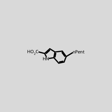 CCCCCc1ccc2[nH]c(C(=O)O)cc2c1